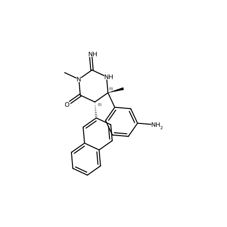 CN1C(=N)N[C@](C)(c2cccc(N)c2)[C@H](c2ccc3ccccc3c2)C1=O